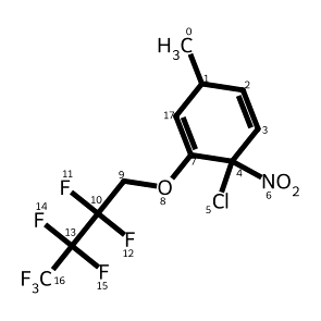 CC1C=CC(Cl)([N+](=O)[O-])C(OCC(F)(F)C(F)(F)C(F)(F)F)=C1